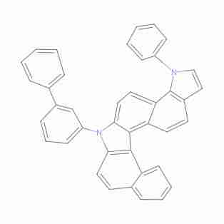 c1ccc(-c2cccc(-n3c4ccc5ccccc5c4c4c5ccc6ccn(-c7ccccc7)c6c5ccc43)c2)cc1